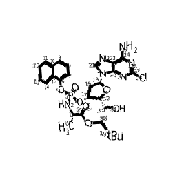 C[C@H](NP(=O)(Oc1cccc2ccccc12)O[C@@H]1C[C@H](n2cnc3c(N)nc(Cl)nc32)O[C@@H]1CO)C(=O)OCC(C)(C)C